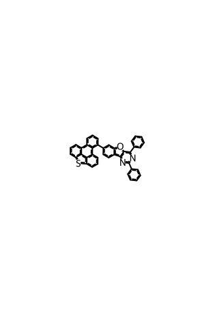 c1ccc(-c2nc(-c3ccccc3)c3oc4cc(-c5cccc6c7cccc8sc9cccc(c56)c9c87)ccc4c3n2)cc1